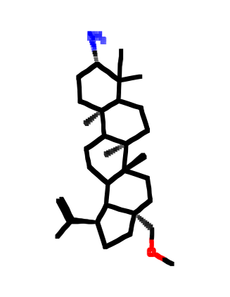 C=C(C)[C@@H]1CC[C@]2(COC)CC[C@]3(C)C(CCC4[C@@]5(C)CC[C@H](N)C(C)(C)C5CC[C@]43C)C12